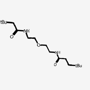 CC(C)(C)CCC(=O)NCCOCCNC(=O)CC(C)(C)C